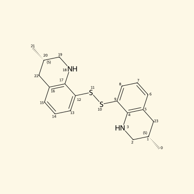 C[C@@H]1CNc2c(cccc2SSc2cccc3c2NC[C@@H](C)C3)C1